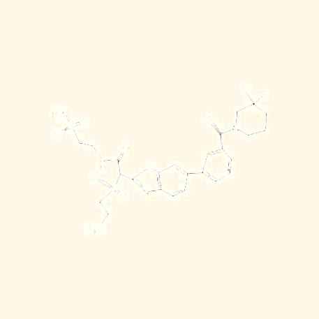 NS(=O)(=O)CCNC(=O)C(c1nc2ccc(-c3cccc(C(=O)N4CCCC(F)(F)C4)c3)cc2s1)S(=O)(=O)CCC(F)(F)F